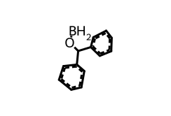 BOC(c1ccccc1)c1ccccc1